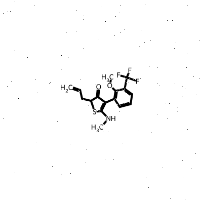 C=CCC1SC(NC)=C(c2cccc(C(F)(F)F)c2OC)C1=O